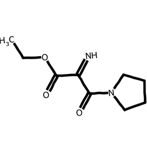 CCOC(=O)C(=N)C(=O)N1CCCC1